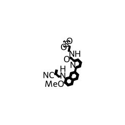 C=C(C#N)CNc1c(OC)ccc2ccc(-c3cccc(C(=O)NCCS(C)(=O)=O)n3)cc12